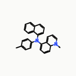 Cc1ccc(N(C2=CC=CC3C2=CC=CN3C)c2cccc3ccccc23)cc1